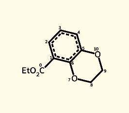 CCOC(=O)c1cccc2c1OCCO2